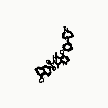 CCc1c(Oc2cccc(N3CCN(C)CC3)c2)ccnc1C(C)NS(=O)(=O)c1ccc2c(Cl)cccc2c1